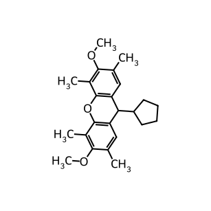 COc1c(C)cc2c(c1C)Oc1c(cc(C)c(OC)c1C)C2C1CCCC1